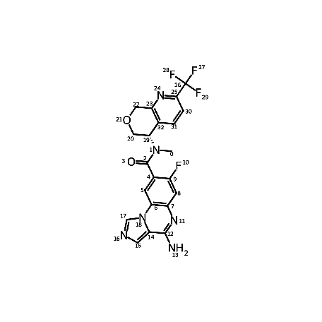 CN(C(=O)c1cc2c(cc1F)nc(N)c1cncn12)[C@@H]1COCc2nc(C(F)(F)F)ccc21